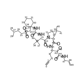 C#CCCC(NC(=O)[C@@H]1C2C(CN1C(=O)[C@@H](NC(=O)NC1(CS(=O)(=O)CCC(C)C)CCCCC1)C(C)(C)C)C2(C)C)C(=O)C(=O)NCC=C